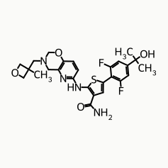 CC1(CN2COc3ccc(Nc4sc(-c5c(F)cc(C(C)(C)O)cc5F)cc4C(N)=O)nc3C2)COC1